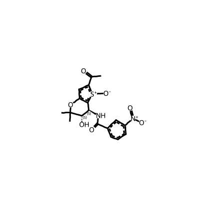 CC(=O)c1cc2c([s+]1[O-])[C@@H](NC(=O)c1cccc([N+](=O)[O-])c1)[C@H](O)C(C)(C)O2